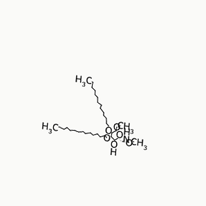 CCCCCCCCCCCCCCO[C@H]1[C@@H](OC)O[C@H](CNOC)[C@@H](O)[C@@H]1OCCCCCCCCCCCCCC